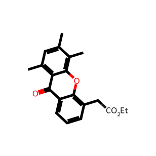 CCOC(=O)Cc1cccc2c(=O)c3c(C)cc(C)c(C)c3oc12